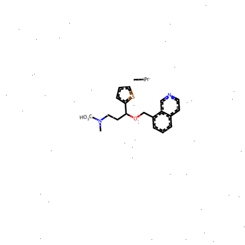 CN(CCC(OCc1cccc2ccncc12)c1cccs1)C(=O)O.C[C](C)C